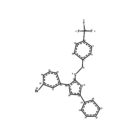 FC(F)(F)c1ccc(CSc2nc(-c3ccccc3)cn2-c2cccc(Br)c2)cc1